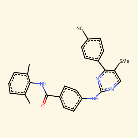 CSc1cnc(Nc2ccc(C(=O)Nc3c(C)cccc3C)cc2)nc1-c1ccc(C#N)cc1